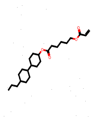 C=CC(=O)OCCCCCC(=O)OC1CCC(C2CCC(CCC)CC2)CC1